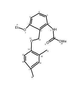 CCOc1cccc(NC(=O)OC)c1COc1ccc(C)cc1C